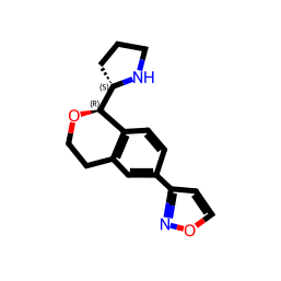 c1cc(-c2ccc3c(c2)CCO[C@H]3[C@@H]2CCCN2)no1